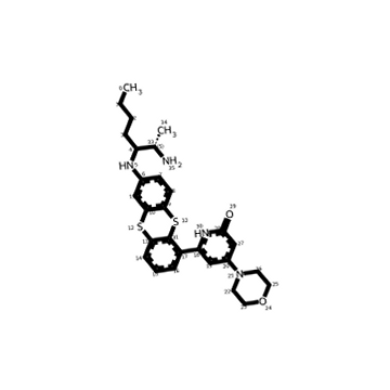 CCCCC(Nc1ccc2c(c1)Sc1cccc(-c3cc(N4CCOCC4)cc(=O)[nH]3)c1S2)[C@H](C)N